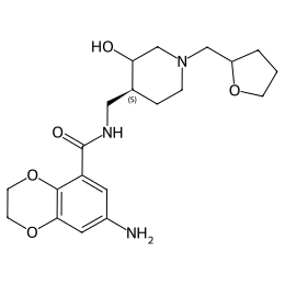 Nc1cc2c(c(C(=O)NC[C@@H]3CCN(CC4CCCO4)CC3O)c1)OCCO2